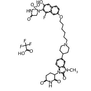 Cn1c(=O)n(C2CCC(=O)NC2=O)c2ccc(C3CCN(CCCCCCOc4ccc5cc(O)c(N6CC(=O)NS6(=O)=O)c(F)c5c4)CC3)cc21.O=C(O)C(F)(F)F